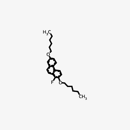 CCCCCCOc1ccc2c(ccc3c(F)c(OCCCCCC)ccc32)c1